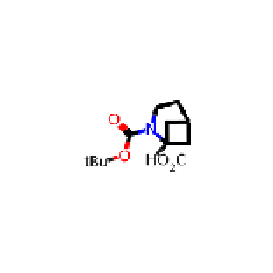 CC(C)(C)OC(=O)N1CCC2CC1(C(=O)O)C2